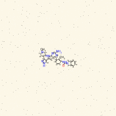 Cc1c(NC(=O)N2Cc3ccccc3C2)cccc1-c1nc(N)nc2[nH]c(-c3c[nH]nc3C3CCN(C)CC3)cc12